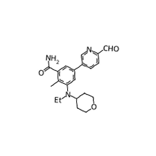 CCN(c1cc(-c2ccc(C=O)nc2)cc(C(N)=O)c1C)C1CCOCC1